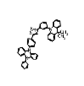 CC1(C)c2ccccc2N(c2cccc(-n3cc(-c4ccc(N5c6ccccc6N(c6ccccc6)c6ccccc65)cc4)nn3)c2)c2ccccc21